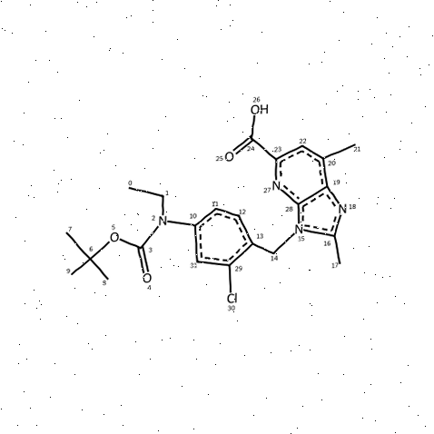 CCN(C(=O)OC(C)(C)C)c1ccc(Cn2c(C)nc3c(C)cc(C(=O)O)nc32)c(Cl)c1